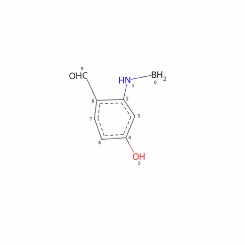 BNc1cc(O)ccc1C=O